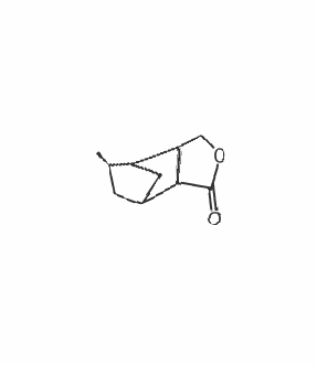 C[C@@H]1CC2CC1C1COC(=O)C21